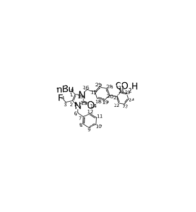 CCCCc1c(CF)n(Cc2ccccc2)c(=O)n1Cc1ccc(-c2ccccc2C(=O)O)cc1